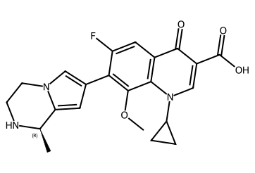 COc1c(-c2cc3n(c2)CCN[C@@H]3C)c(F)cc2c(=O)c(C(=O)O)cn(C3CC3)c12